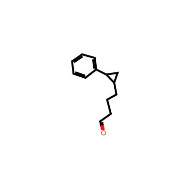 O=CCCCC1CC1c1ccccc1